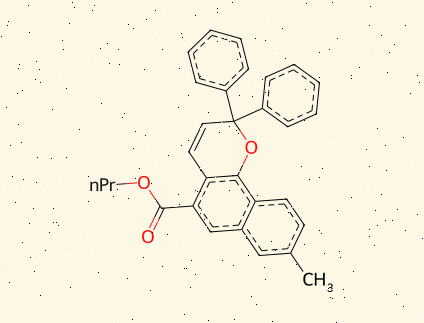 CCCOC(=O)c1cc2cc(C)ccc2c2c1C=CC(c1ccccc1)(c1ccccc1)O2